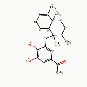 COC(=O)c1cc(O)c(O)c(CC2(C)C(C)CCC3(C)C(C)=CCCC32)c1